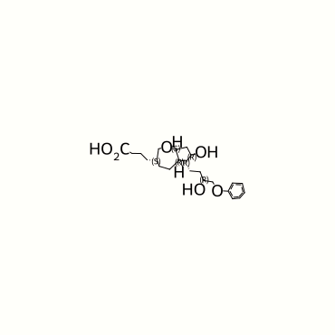 O=C(O)CCC[C@H]1CC[C@@H]2[C@@H](CC[C@@H](O)COc3ccccc3)[C@H](O)C[C@@H]2OC1